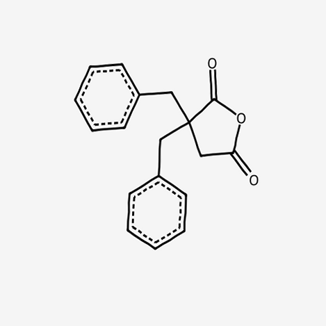 O=C1CC(Cc2ccccc2)(Cc2ccccc2)C(=O)O1